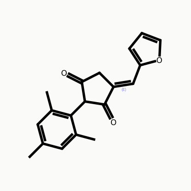 Cc1cc(C)c(C2C(=O)C/C(=C\c3ccco3)C2=O)c(C)c1